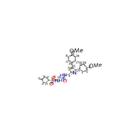 COc1ccc(-c2nc(CNC(=O)CNS(=O)(=O)c3ccc(C)cc3)sc2-c2ccc(OC)cc2)cc1